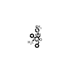 C=CN1CN(Cc2ccccc2)C(=O)c2cnc(N3CCN(C)CC3)nc2[C@@H]1c1ccccc1